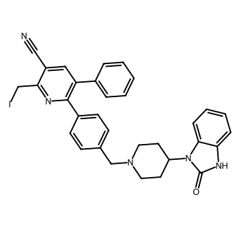 N#Cc1cc(-c2ccccc2)c(-c2ccc(CN3CCC(n4c(=O)[nH]c5ccccc54)CC3)cc2)nc1CI